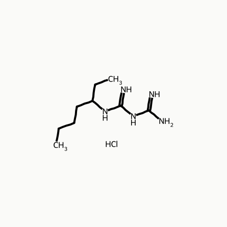 CCCCC(CC)NC(=N)NC(=N)N.Cl